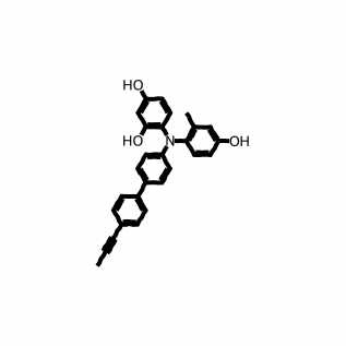 CC#Cc1ccc(-c2ccc(N(c3ccc(O)cc3C)c3ccc(O)cc3O)cc2)cc1